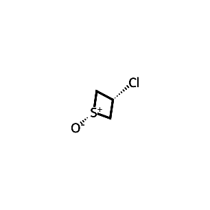 [O-][S@+]1C[C@H](Cl)C1